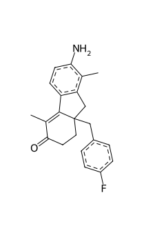 CC1=C2c3ccc(N)c(C)c3CC2(Cc2ccc(F)cc2)CCC1=O